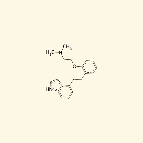 CN(C)CCOc1ccccc1CCc1cccc2[nH]ccc12